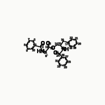 C[C@H](NC(=O)c1ccccc1)C(=O)OCC(Cc1ccccc1)NC(=O)c1ccccc1